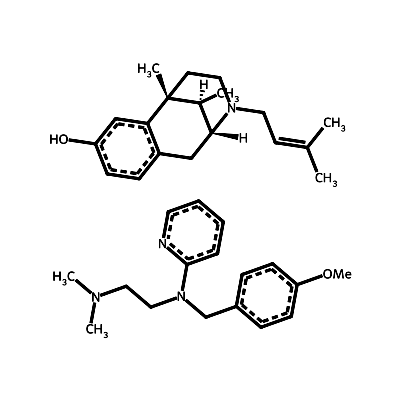 CC(C)=CCN1CC[C@@]2(C)c3cc(O)ccc3C[C@@H]1[C@@H]2C.COc1ccc(CN(CCN(C)C)c2ccccn2)cc1